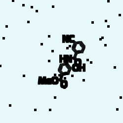 COC(=O)c1ccc(NC(=O)c2cccc(C#N)c2)c(O)c1